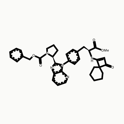 COC(=O)[C@H](Cc1ccc(-n2c([C@@H]3CCCN3C(=O)OCc3ccccc3)nc3cccnc32)cc1)NC1=CC(=O)C12CCCCC2